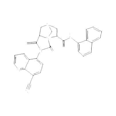 N#Cc1ccc(N2C(=O)C3CN4CC(C(=O)Nc5cccc6ccccc56)[N+]3(C4)C2=O)c2cccnc12